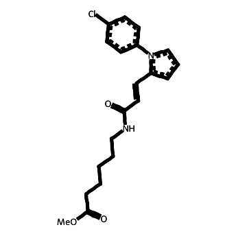 COC(=O)CCCCCNC(=O)C=Cc1cccn1-c1ccc(Cl)cc1